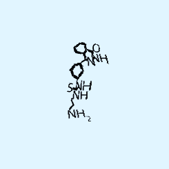 NCCCNC(=S)Nc1cccc(-c2n[nH]c(=O)c3ccccc23)c1